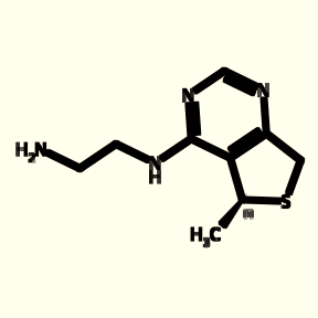 C[C@@H]1SCc2ncnc(NCCN)c21